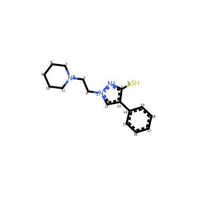 Sc1nn(CCN2CCCCC2)cc1-c1ccccc1